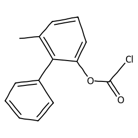 Cc1cccc(OC(=O)Cl)c1-c1ccccc1